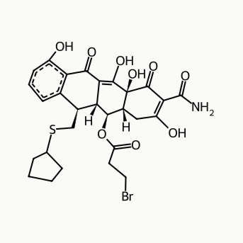 NC(=O)C1=C(O)C[C@@H]2[C@@H](OC(=O)CCBr)[C@H]3C(=C(O)[C@]2(O)C1=O)C(=O)c1c(O)cccc1[C@@H]3CSC1CCCC1